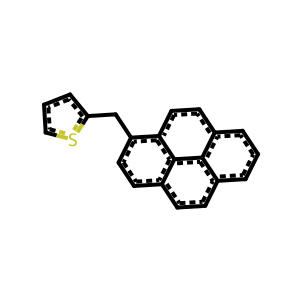 c1csc(Cc2ccc3ccc4cccc5ccc2c3c45)c1